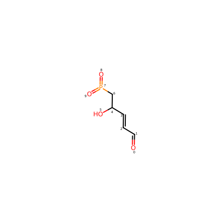 O=CC=CC(O)CP(=O)=O